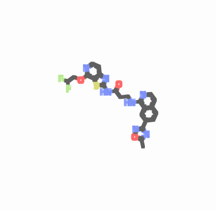 Cc1nc(-c2ccc3ccnc(NCCC(=O)Nc4nc5ccnc(OCC(F)F)c5s4)c3c2)no1